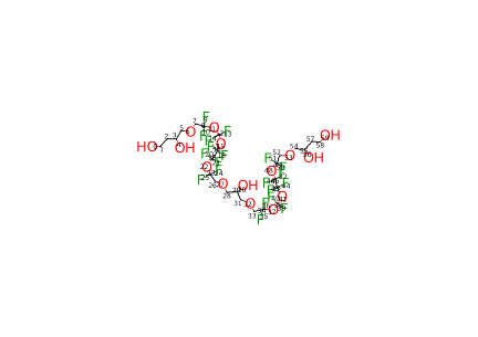 OCCC(O)COCC(F)(F)OC(F)(F)OC(F)(F)C(F)(F)OC(F)(F)COCC(O)COCC(F)(F)OC(F)(F)OC(F)(F)C(F)(F)OC(F)(F)COCC(O)CCO